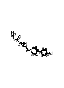 NNC(=O)NNCCCN1CC=C(c2ccc(Cl)cc2)CC1